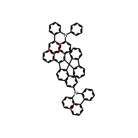 c1ccc(-c2ccccc2N(c2ccccc2)c2ccc3c4c(ccc3c2)-c2c(c3ccc(N(c5ccccc5)c5ccccc5-c5ccccc5)cc3c3ccccc23)C42c3ccccc3-c3ccccc32)cc1